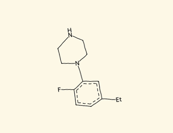 CCc1ccc(F)c(N2CCNCC2)c1